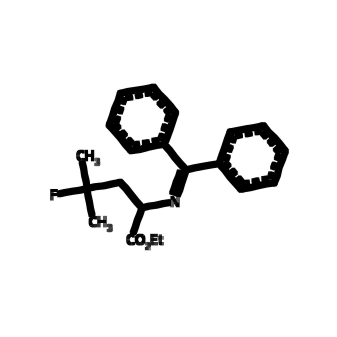 CCOC(=O)C(CC(C)(C)F)N=C(c1ccccc1)c1ccccc1